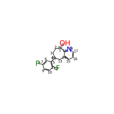 O[C@H]1CC[C@H](c2cc(F)ccc2F)Cc2cccnc21